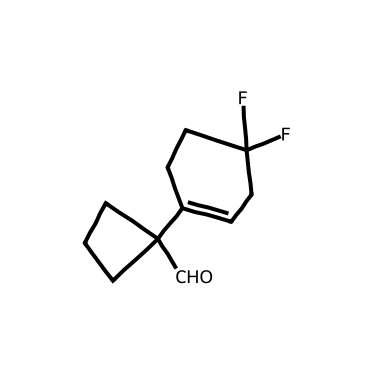 O=CC1(C2=CCC(F)(F)CC2)CCC1